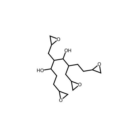 OC(CCC1CO1)C(CC1CO1)C(O)C(CCC1CO1)CC1CO1